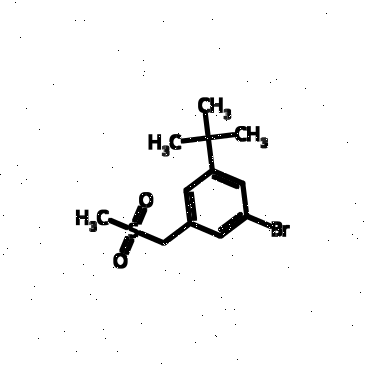 CC(C)(C)c1cc(Br)cc(CS(C)(=O)=O)c1